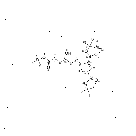 CC(C)(C)OC(=O)NC[C@H](O)COc1nn(C(=O)OC(C)(C)C)cc1B1OC(C)(C)C(C)(C)O1